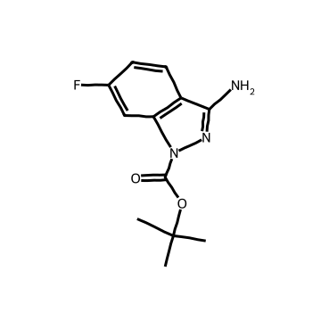 CC(C)(C)OC(=O)n1nc(N)c2ccc(F)cc21